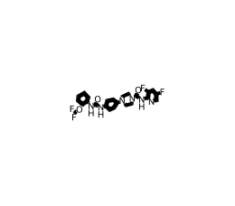 O=C(Nc1ccc(N2CCN(C(=O)Nc3ncc(F)cc3F)CC2)cc1)Nc1ccccc1OC(F)F